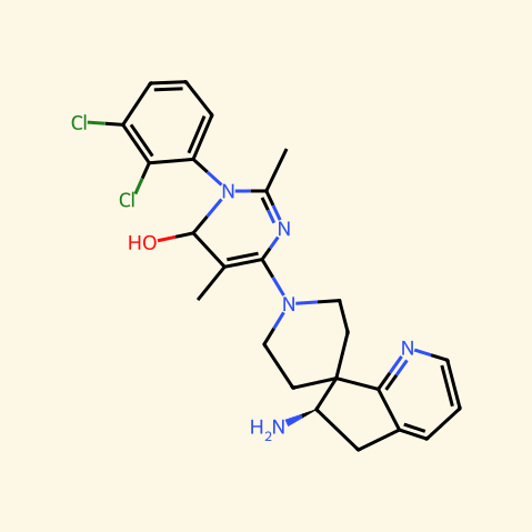 CC1=NC(N2CCC3(CC2)c2ncccc2C[C@H]3N)=C(C)C(O)N1c1cccc(Cl)c1Cl